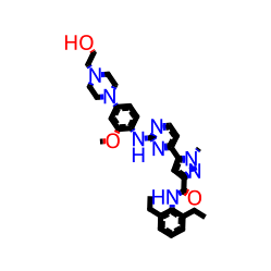 CCc1cccc(CC)c1NC(=O)c1cc(-c2ccnc(Nc3ccc(N4CCN(CCO)CC4)cc3OC)n2)n(C)n1